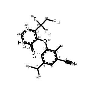 Cc1c(C#N)cc(C(F)F)cc1Oc1c(C(F)(F)CF)nc[nH]c1=O